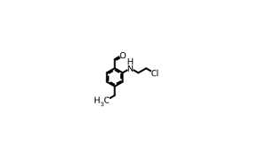 CCc1ccc(C=O)c(NCCCl)c1